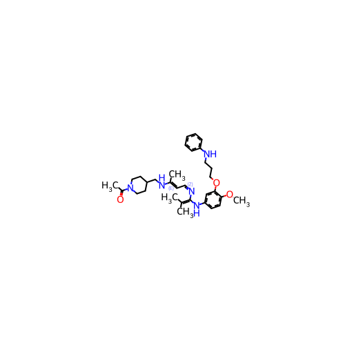 COc1ccc(NC(/N=C\C=C(/C)NCC2CCN(C(C)=O)CC2)=C(C)C)cc1OCCCNc1ccccc1